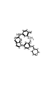 Cc1cc(Nc2ncc3ccn(-c4ccc(CN5CCOCC5)c(F)c4)c3n2)ccc1F